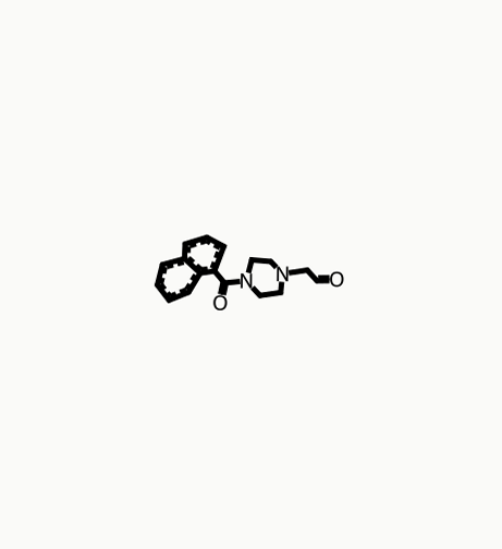 O=CCN1CCN(C(=O)c2cccc3ccccc23)CC1